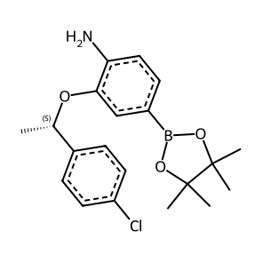 C[C@H](Oc1cc(B2OC(C)(C)C(C)(C)O2)ccc1N)c1ccc(Cl)cc1